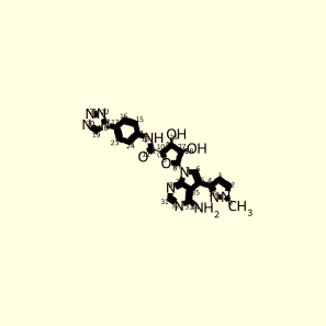 Cn1ccc(-c2cn([C@@H]3O[C@H](C(=O)Nc4ccc(-n5cnnn5)cc4)[C@@H](O)[C@H]3O)c3ncnc(N)c23)n1